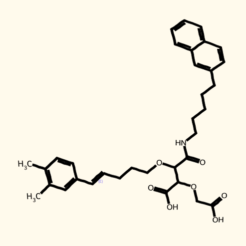 Cc1ccc(/C=C/CCCOC(C(=O)NCCCCCc2ccc3ccccc3c2)C(OCC(=O)O)C(=O)O)cc1C